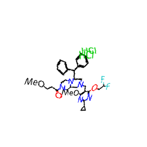 COCCC(=O)N1CCN2C(CN(Cc3c(OC)nc(C4CC4)nc3OCC(F)F)CC2C(c2ccccc2)c2ccccc2)C1.Cl.Cl